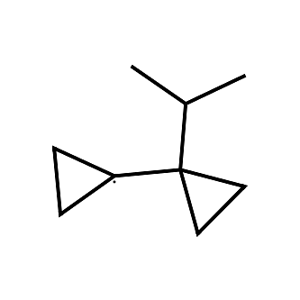 CC(C)C1([C]2CC2)CC1